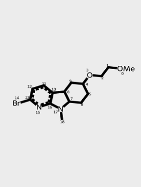 COCCOC1CCC2C(C1)c1ccc(Br)nc1N2C